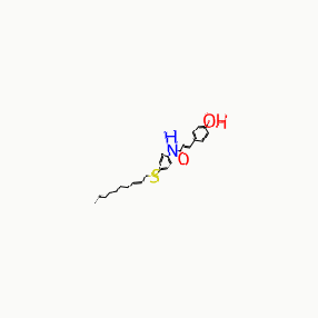 CCCCCCCC=CCSc1ccc(NC(=O)C=Cc2ccc(O)cc2)cc1